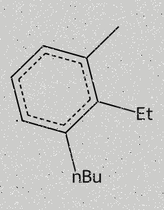 CCCCc1[c]ccc(C)c1CC